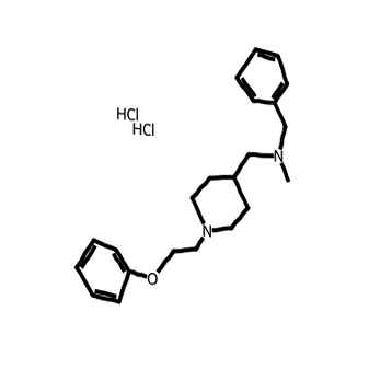 CN(Cc1ccccc1)CC1CCN(CCOc2ccccc2)CC1.Cl.Cl